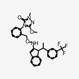 COc1nn(C)c(=O)n1-c1ccccc1CONC1=Cc2ccccc2C1C(C)c1cccc(C(F)(F)F)c1